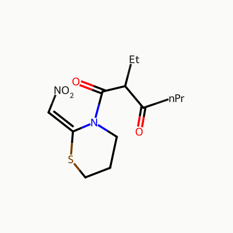 CCCC(=O)C(CC)C(=O)N1CCCSC1=C[N+](=O)[O-]